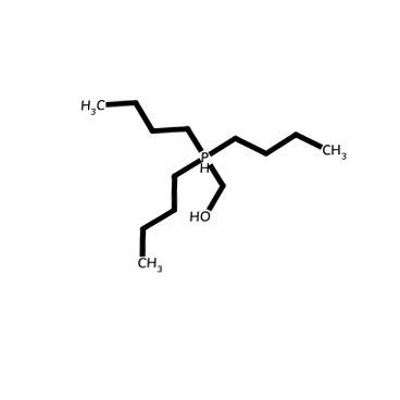 CCCC[PH](CO)(CCCC)CCCC